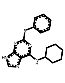 c1ccc(Sc2nc(NC3CCCCC3)c3nc[nH]c3n2)cc1